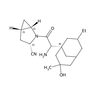 CCC1CC2CC(C)(O)C[C@@](C(N)C(=O)N3[C@H](C#N)C[C@@H]4C[C@@H]43)(C1)C2